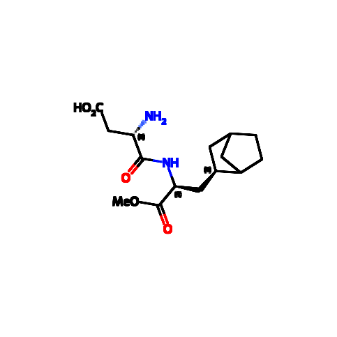 COC(=O)[C@H](C[C@H]1CC2CCC1C2)NC(=O)[C@@H](N)CC(=O)O